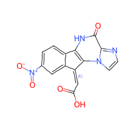 O=C(O)/C=c1\c2cc([N+](=O)[O-])ccc2c2[nH]c(=O)c3nccn3c12